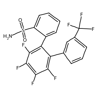 NS(=O)(=O)c1ccccc1-c1c(F)c(F)c(F)c(F)c1-c1cccc(C(F)(F)F)c1